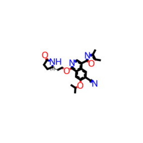 Cc1nc(-c2cnc(OCC[C@@H]3CCC(=O)N3)c3cc(OC(C)C)c(C#N)cc23)oc1C